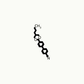 CCCCC1COC(c2ccc(-c3ccc(C#N)cc3)cc2)OC1